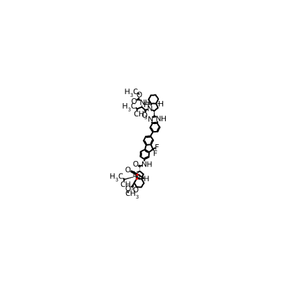 COC(=O)N[C@H](C(=O)N1[C@H](c2nc3cc(-c4ccc5c(c4)C(F)(F)c4cc(NC(=O)[C@@H]6C[C@@H]7CCCC[C@@]78N(C(=O)OC)[C@@H](C(C)C)C(=O)N68)ccc4-5)ccc3[nH]2)C[C@@H]2CCCC[C@@H]21)C(C)C